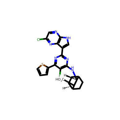 O=C(O)[C@@H]1C2CCC(CC2)[C@H]1Nc1nc(-c2c[nH]c3ncc(Cl)nc23)nc(-c2cccs2)c1F